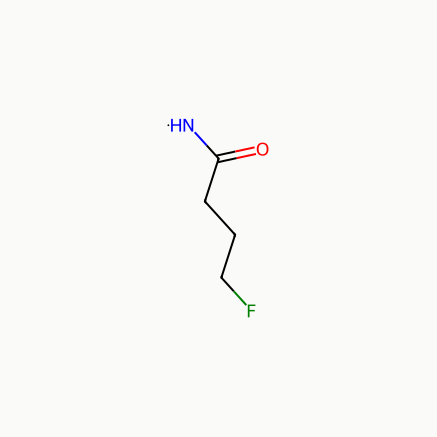 [NH]C(=O)CCCF